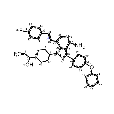 C=CC(O)N1CCC(n2nc(-c3ccc(Oc4ccccc4)cc3)c3c(N)ncc(/C=C/c4ccc(F)cc4)c32)CC1